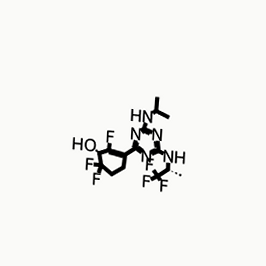 CC(C)Nc1nc(N[C@H](C)C(F)(F)F)nc(C2=C(F)[C@@H](O)C(F)(F)CC2)n1